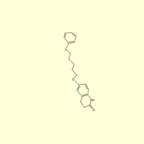 O=C1CCc2cc(OCCCCCSc3ccccc3)ccc2N1